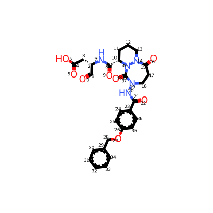 O=C[C@H](CC(=O)O)NC(=O)[C@@H]1CCCN2C(=O)CCN(NC(=O)c3ccc(OCc4ccccc4)cc3)C(=O)N12